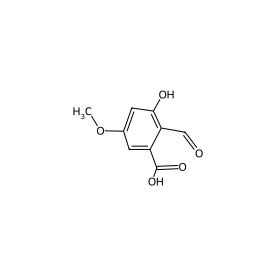 COc1cc(O)c(C=O)c(C(=O)O)c1